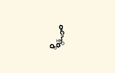 O=C(NCCCN1CCN(c2ccccc2)CC1)c1ccc(Oc2ccccc2)cc1